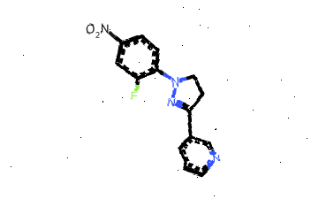 O=[N+]([O-])c1ccc(N2CCC(c3cccnc3)=N2)c(F)c1